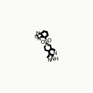 O=S(=O)(c1cccc2nonc12)N1CCc2c(cnc3[nH]ncc23)C1